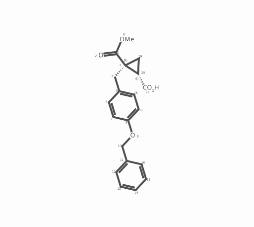 COC(=O)[C@@]1(Cc2ccc(OCc3ccccc3)cc2)C[C@@H]1C(=O)O